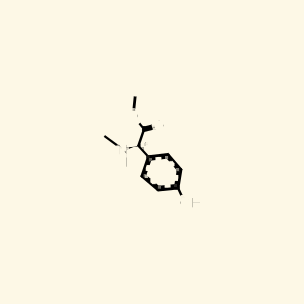 CN[C@@H](C(=O)OC)c1ccc(O)cc1